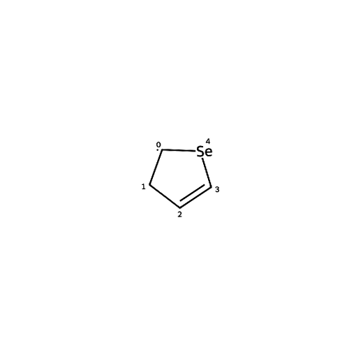 [CH]1CC=C[Se]1